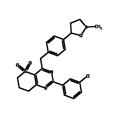 CB1CCC(c2ccc(Cc3nc(-c4cccc(Cl)c4)nc4c3S(=O)(=O)CCC4)cc2)O1